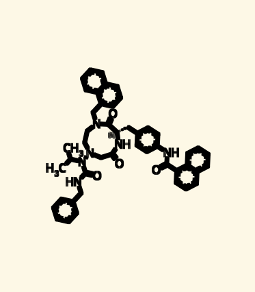 CC(C)N(C(=O)NCc1ccccc1)N1CCN(Cc2cccc3ccccc23)C(=O)[C@H](Cc2ccc(NC(=O)c3cccc4ccccc34)cc2)NC(=O)C1